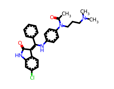 CC(=O)N(CCCN(C)C)c1ccc(NC(=C2C(=O)Nc3cc(Cl)ccc32)c2ccccc2)cc1